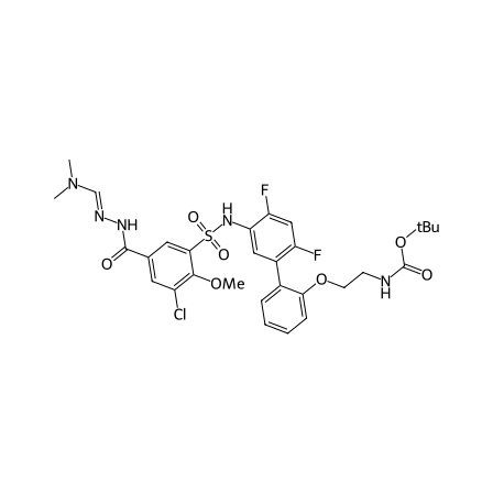 COc1c(Cl)cc(C(=O)NN=CN(C)C)cc1S(=O)(=O)Nc1cc(-c2ccccc2OCCNC(=O)OC(C)(C)C)c(F)cc1F